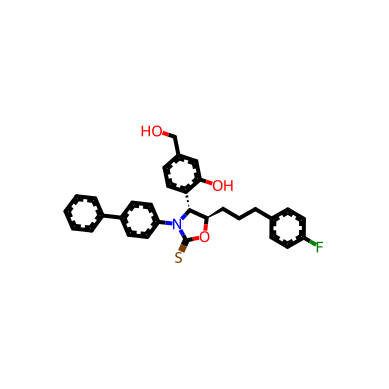 OCc1ccc([C@@H]2[C@@H](CCCc3ccc(F)cc3)OC(=S)N2c2ccc(-c3ccccc3)cc2)c(O)c1